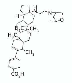 CC1C(C2=CCC(C(=O)O)CC2)=CCC2(C)C1CCC1(C)C2CCC2[C@H]3CCC[C@]3(NCCN3CC4CC3CO4)CC[C@]21C